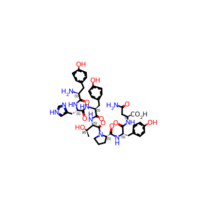 C[C@@H](O)[C@H](NC(=O)[C@H](Cc1ccc(O)cc1)NC(=O)[C@H](Cc1c[nH]cn1)NC(=O)[C@@H](N)Cc1ccc(O)cc1)C(=O)N1CCC[C@H]1C(=O)N[C@@H](Cc1ccc(O)cc1)C(=O)N[C@@H](CC(N)=O)C(=O)O